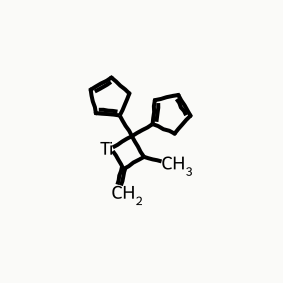 C=[C]1[Ti][C](C2=CC=CC2)(C2=CC=CC2)C1C